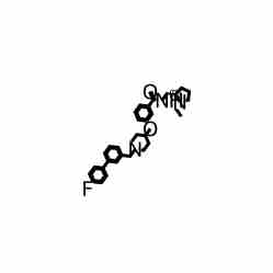 CCN1CCC[C@@H]1CNC(=O)c1cccc(OC2CCN(Cc3cccc(-c4ccc(F)cc4)c3)CC2)c1